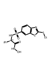 CCSc1nc2ccc(S(=O)(=O)N[C@@H](C(=O)NO)C(C)C)cc2s1